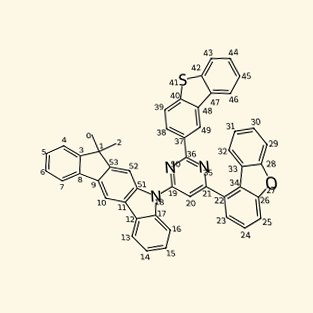 CC1(C)c2ccccc2-c2cc3c4ccccc4n(-c4cc(-c5cccc6oc7ccccc7c56)nc(-c5ccc6sc7ccccc7c6c5)n4)c3cc21